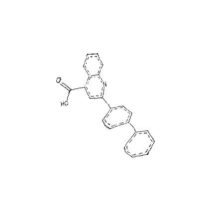 O=C(O)c1cc(-c2ccc(-c3ccccc3)cc2)nc2ccccc12